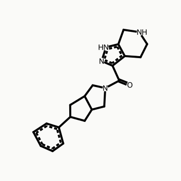 O=C(c1n[nH]c2c1CCNC2)N1CC2CC(c3ccccc3)CC2C1